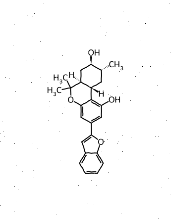 C[C@@H]1C[C@@H]2c3c(O)cc(-c4cc5ccccc5o4)cc3OC(C)(C)[C@H]2C[C@H]1O